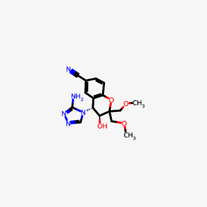 COCC1(COC)Oc2ccc(C#N)cc2[C@@H](n2cnnc2N)[C@@H]1O